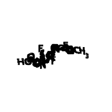 Cc1ccc(COc2cccc(-c3ccc(Cc4nc5ccc(C(=O)O)cc5n4CCCF)c(F)c3)n2)c(F)c1